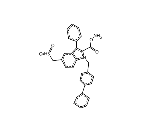 NOC(=O)c1c(-c2ccccc2)c2cc(C[SH](=O)=O)ccc2n1Cc1ccc(-c2ccccc2)cc1